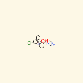 CN1CCN(CC2CCCC/C(=C/c3ccccc3)C2(O)Cc2ccc(Cl)cc2)CC1